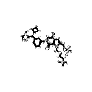 Cn1cnnc1[C@@H](c1cccc(-n2cc(Br)c3cc(COS(C)(=O)=O)n(COCC[Si](C)(C)C)c3c2=O)c1)C1CCC1